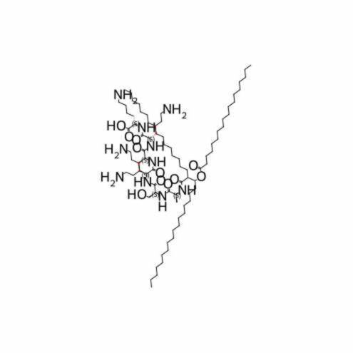 CCCCCCCCCCCCCCCCCC(=O)OC(CCCCCCCCCCCCCCCCC)C(CCCCCCCCCCCCCCCC)C(=O)N[C@@H](C)C(=O)N[C@@H](CO)C(=O)N[C@@H](CCCCN)C(=O)N[C@@H](CCCCN)C(=O)N[C@@H](CCCCN)C(=O)N[C@@H](CCCCN)C(=O)O